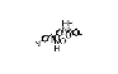 Cc1ccc(NC(=O)Nc2ccc3c(Cc4ccc(C#N)cc4)n[nH]c(=O)c3c2)cc1